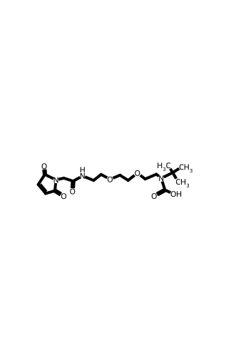 CC(C)(C)N(CCOCCOCCNC(=O)CN1C(=O)C=CC1=O)C(=O)O